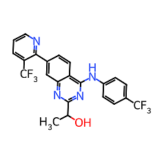 CC(O)c1nc(Nc2ccc(C(F)(F)F)cc2)c2ccc(-c3ncccc3C(F)(F)F)cc2n1